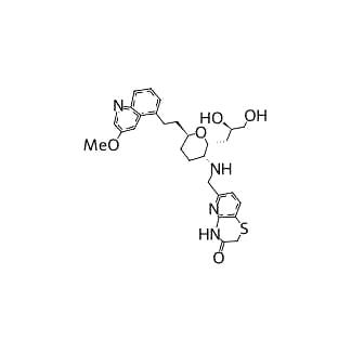 COc1cnc2cccc(CC[C@@H]3CC[C@@H](NCc4ccc5c(n4)NC(=O)CS5)[C@@H](C[C@@H](O)CO)O3)c2c1